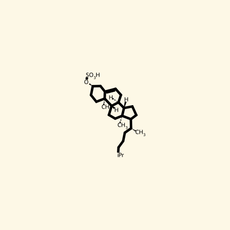 CC(C)CCC[C@@H](C)C1CC[C@H]2[C@@H]3CC=C4C[C@@H](OS(=O)(=O)O)CC[C@]4(C)[C@H]3CC[C@]12C